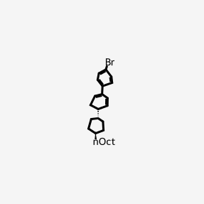 CCCCCCCC[C@H]1CC[C@H](C2C=CC(c3ccc(Br)cc3)=CC2)CC1